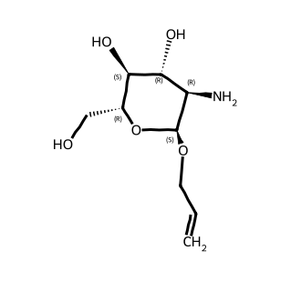 C=CCO[C@H]1O[C@H](CO)[C@@H](O)[C@H](O)[C@H]1N